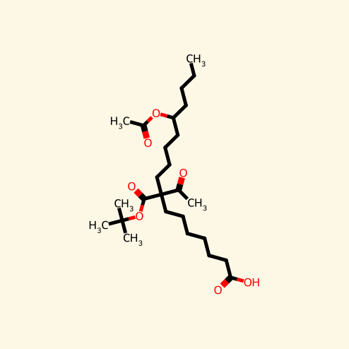 CCCCC(CCCCC(CCCCCCC(=O)O)(C(C)=O)C(=O)OC(C)(C)C)OC(C)=O